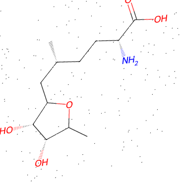 CC1OC(C[C@H](C)CC[C@@H](N)C(=O)O)[C@@H](O)[C@H]1O